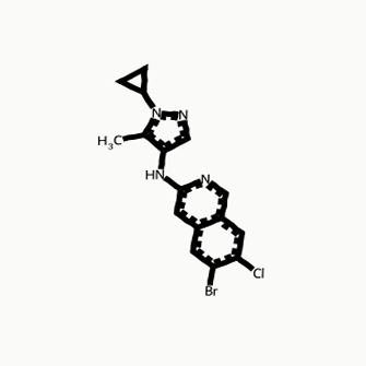 Cc1c(Nc2cc3cc(Br)c(Cl)cc3cn2)cnn1C1CC1